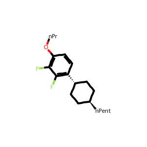 CCCCC[C@H]1CC[C@H](c2ccc(OCCC)c(F)c2F)CC1